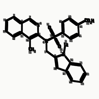 CCn1c(CN(c2ncc3ccccc3c2C)S(=O)(=O)c2ccc(C(=O)O)cc2)cc2ccccc21